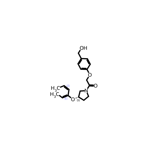 C/C=C\C(=C/C)O[C@H]1CCN(C(=O)COc2ccc(CO)cc2)C1